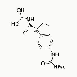 CNC(=O)Nc1ccc2c(c1)CC[C@@H]2C(=O)NC(O)O